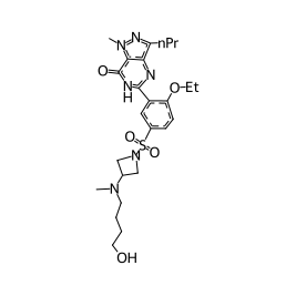 CCCc1nn(C)c2c(=O)[nH]c(-c3cc(S(=O)(=O)N4CC(N(C)CCCCO)C4)ccc3OCC)nc12